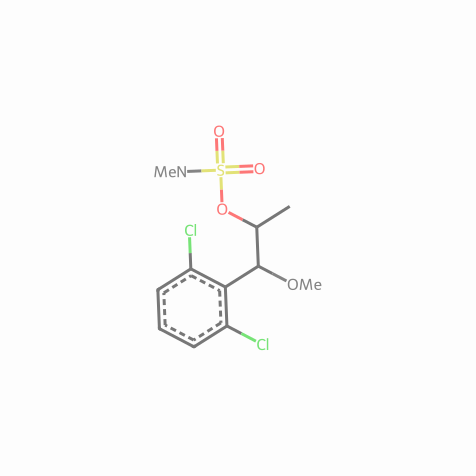 CNS(=O)(=O)OC(C)C(OC)c1c(Cl)cccc1Cl